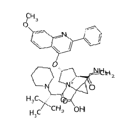 C=CC1CC1(C(=O)O)[N+]1(C(=O)[C@@H](N2CCCCC2)C(C)(C)C)C[C@H](Oc2cc(-c3ccccc3)nc3cc(OC)ccc23)C[C@H]1C(N)=O